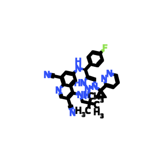 CC(C)(C)CNc1c(C#N)cnc2c(C#N)cc(N[C@H](C3=CN(C4(c5cccnn5)CC4)NN3)c3ccc(F)cc3)cc12